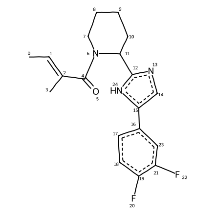 CC=C(C)C(=O)N1CCCCC1c1ncc(-c2ccc(F)c(F)c2)[nH]1